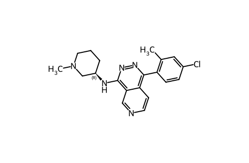 Cc1cc(Cl)ccc1-c1nnc(N[C@@H]2CCCN(C)C2)c2cnccc12